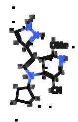 COc1ncc(C#N)c2c1c(-c1ccn(C)n1)cn2C1CCCC1